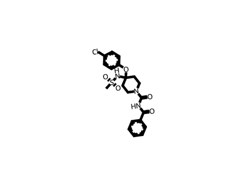 CS(=O)(=O)NC1(Oc2ccc(Cl)cc2)CCN(C(=O)NC(=O)c2ccccc2)CC1